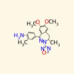 COc1cc2c(cc1OC)C(c1ccc(N)c(C)c1)=NN(c1ncon1)C(C)C2